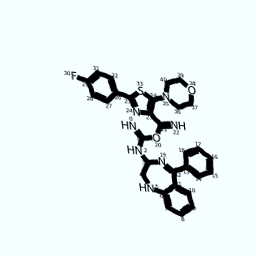 N=C(NC1CNc2ccccc2C(c2ccccc2)=N1)OC(=N)c1nc(-c2ccc(F)cc2)sc1N1CCOCC1